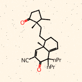 CCCC1(CCC)C(=O)C(C#N)=C[C@@]2(C)C1=CCCC2CC[C@]1(C)C(=O)CCC1C